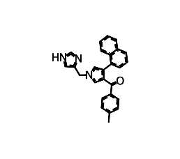 Cc1ccc(C(=O)c2cn(Cc3c[nH]cn3)cc2-c2cccc3ccccc23)cc1